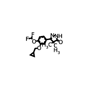 CC1(C)C(=O)NN=C1c1ccc(OC(F)F)c(OCC2CC2)c1